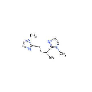 CCCC(CCc1nccn1C)c1nccn1C